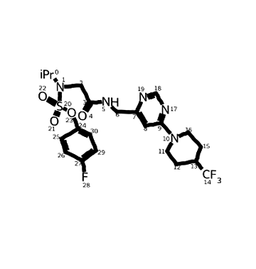 CC(C)N(CC(=O)NCc1cc(N2CCC(C(F)(F)F)CC2)ncn1)S(=O)(=O)Oc1ccc(F)cc1